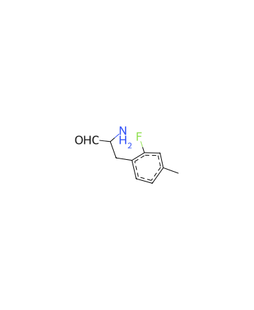 Cc1ccc(CC(N)C=O)c(F)c1